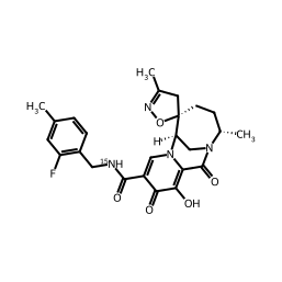 CC1=NO[C@@]2(CC[C@H](C)N3C[C@H]2n2cc(C(=O)[15NH]Cc4ccc(C)cc4F)c(=O)c(O)c2C3=O)C1